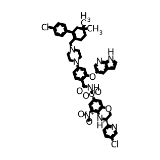 CC1(C)CCC(CN2CCN(c3ccc(C(=O)NS(=O)(=O)c4cc5c(c([N+](=O)[O-])c4)N[C@H](c4ccc(Cl)cn4)CO5)c(Oc4cnc5[nH]ccc5c4)c3)CC2)=C(c2ccc(Cl)cc2)C1